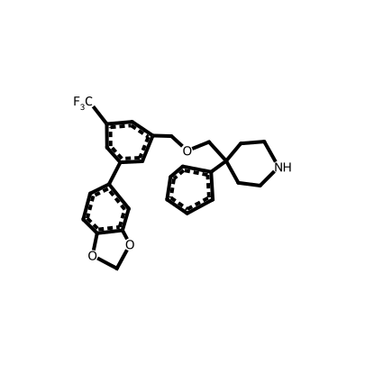 FC(F)(F)c1cc(COCC2(c3ccccc3)CCNCC2)cc(-c2ccc3c(c2)OCO3)c1